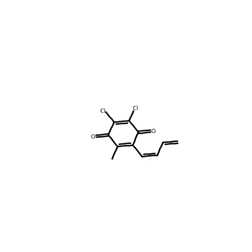 C=C/C=C\C1=C(C)C(=O)C(Cl)=C(Cl)C1=O